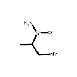 CCCCC(C)[S+](N)[O-]